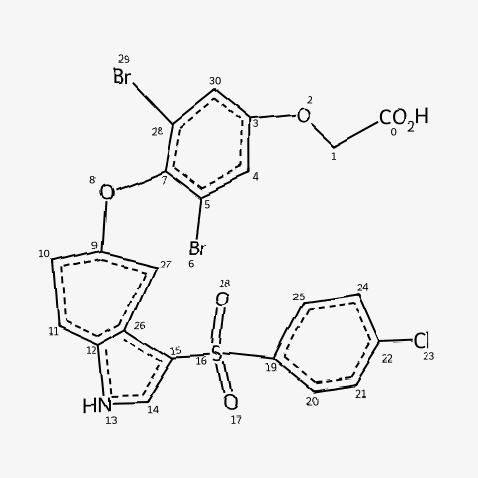 O=C(O)COc1cc(Br)c(Oc2ccc3[nH]cc(S(=O)(=O)c4ccc(Cl)cc4)c3c2)c(Br)c1